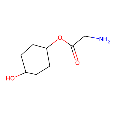 NCC(=O)OC1CCC(O)CC1